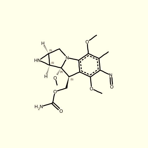 COc1c(N=O)c(C)c(OC)c2c1[C@@H](COC(N)=O)[C@@]1(OC)[C@H]3N[C@H]3CN21